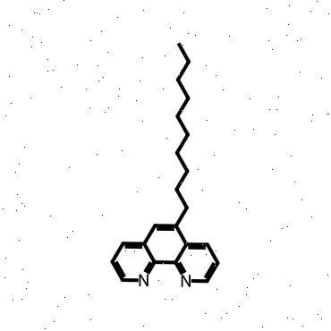 CCCCCCCCCCc1cc2cccnc2c2ncccc12